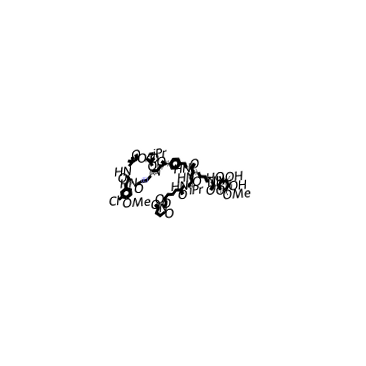 COc1ccc(C[C@H]2NC(=O)/C=C/C[C@@H]([C@H](C)[C@H]3O[C@@H]3c3ccc(CNC(=O)[C@H](CCCCNC(=O)[C@H]4O[C@@H](OC)[C@H](O)[C@@H](O)[C@@H]4O)NC(=O)[C@@H](NC(=O)CCCC(=O)ON4C(=O)CCC4=O)C(C)C)cc3)OC(=O)[C@H](CC(C)C)OC(=O)C(C)(C)CNC2=O)cc1Cl